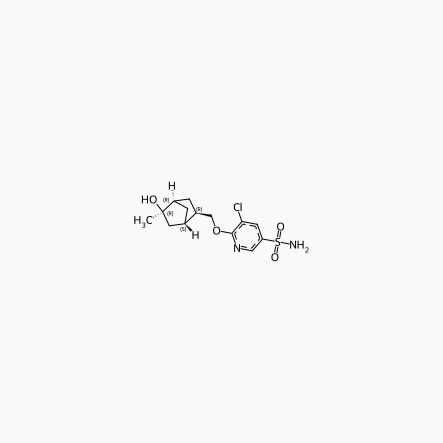 C[C@@]1(O)C[C@@H]2C[C@@H]1C[C@H]2COc1ncc(S(N)(=O)=O)cc1Cl